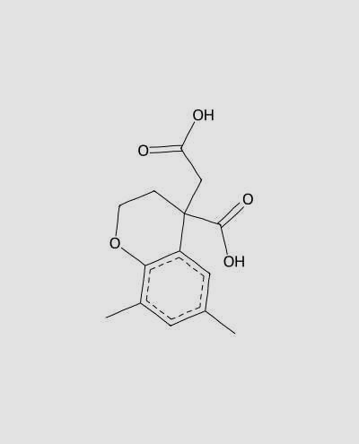 Cc1cc(C)c2c(c1)C(CC(=O)O)(C(=O)O)CCO2